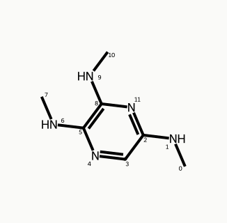 CNc1cnc(NC)c(NC)n1